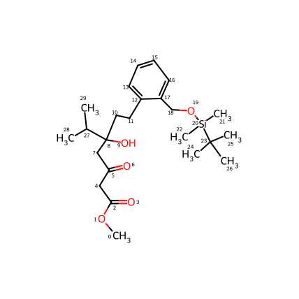 COC(=O)CC(=O)CC(O)(CCc1ccccc1CO[Si](C)(C)C(C)(C)C)C(C)C